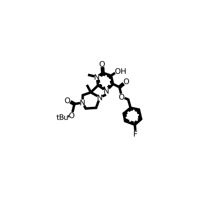 CN1CCN(C(=O)OC(C)(C)C)CC1(C)c1nc(C(=O)OCc2ccc(F)cc2)c(O)c(=O)n1C